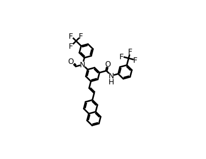 O=CN(c1cc(/C=C/c2ccc3ccccc3c2)cc(C(=O)Nc2cccc(C(F)(F)F)c2)c1)c1cccc(C(F)(F)F)c1